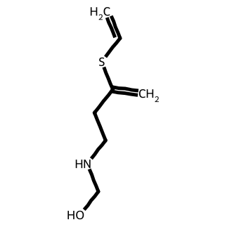 C=CSC(=C)CCNCO